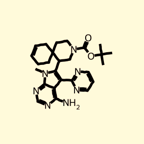 Cn1c(C2CN(C(=O)OC(C)(C)C)CCC23CC=CCC3)c(-c2ncccn2)c2c(N)ncnc21